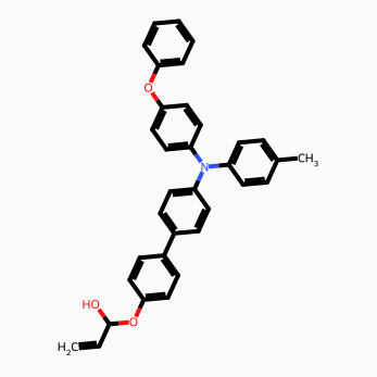 C=CC(O)Oc1ccc(-c2ccc(N(c3ccc(C)cc3)c3ccc(Oc4ccccc4)cc3)cc2)cc1